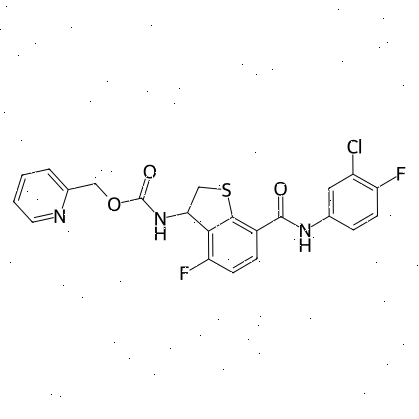 O=C(NC1CSc2c(C(=O)Nc3ccc(F)c(Cl)c3)ccc(F)c21)OCc1ccccn1